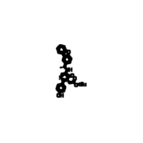 C[C@@H](Nc1cnc(-c2ccc(O)cc2)n(CC(=O)OC(C)(C)C)c1=O)c1ccc2oc3ccccc3c2c1